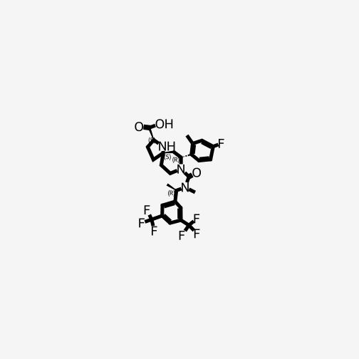 Cc1cc(F)ccc1[C@H]1C[C@]2(CC[C@@H](C(=O)O)N2)CCN1C(=O)N(C)[C@H](C)c1cc(C(F)(F)F)cc(C(F)(F)F)c1